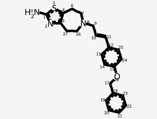 Nc1nc2c(s1)CCN(C/C=C/c1ccc(OCc3ccccc3)cc1)CC2